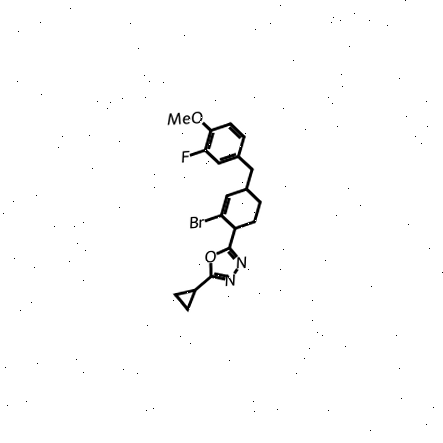 COc1ccc(CC2C=C(Br)C(c3nnc(C4CC4)o3)CC2)cc1F